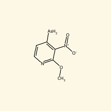 COc1nccc([AsH2])c1[N+](=O)[O-]